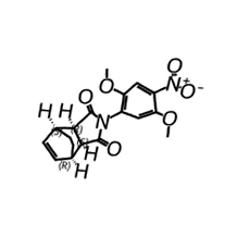 COc1cc([N+](=O)[O-])c(OC)cc1N1C(=O)[C@@H]2[C@H](C1=O)[C@@H]1C=C[C@H]2CC1